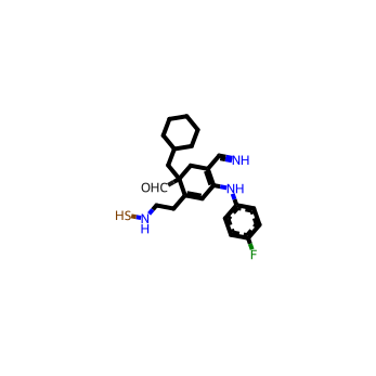 N=CC1=C(Nc2ccc(F)cc2)C=C(CCNS)C(C=O)(CC2CCCCC2)C1